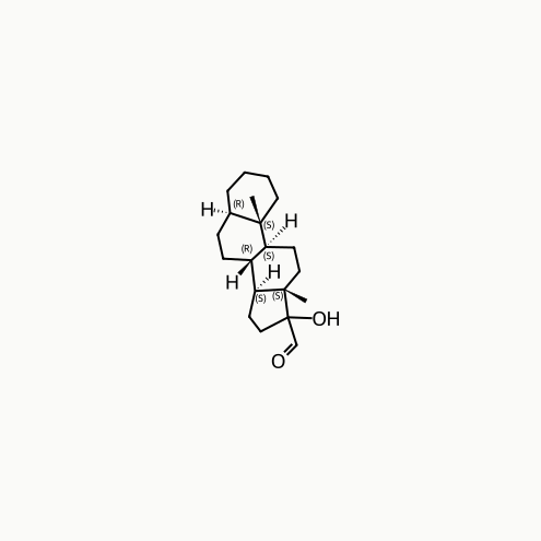 C[C@]12CCCC[C@@H]1CC[C@@H]1[C@@H]2CC[C@@]2(C)[C@H]1CCC2(O)C=O